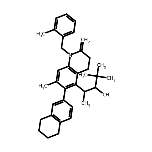 C=C1CCc2c(cc(C)c(-c3ccc4c(c3)CCCC4)c2C(C)C(C)C(C)(C)C)N1Cc1ccccc1C